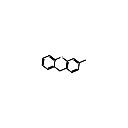 Cc1ccc2c(c1)Oc1ccccc1C2